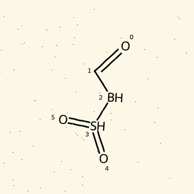 O=CB[SH](=O)=O